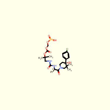 CC(C)[C@@H](NC(=O)NCC(C)(C)OC(=O)OCO[PH](=O)O)C(=O)N1CC[C@](O)(c2ccc(Cl)cc2)C(C)(C)C1